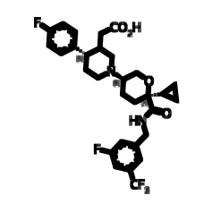 O=C(O)CC1CN([C@@H]2CC[C@@](C(=O)NCc3cc(F)cc(C(F)(F)F)c3)(C3CC3)OC2)CC[C@@H]1c1ccc(F)cc1